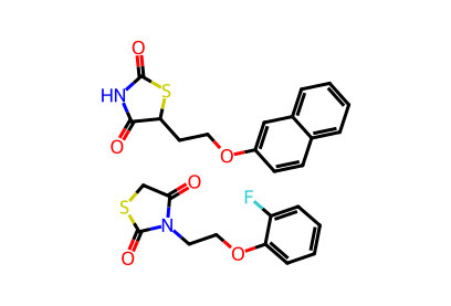 O=C1CSC(=O)N1CCOc1ccccc1F.O=C1NC(=O)C(CCOc2ccc3ccccc3c2)S1